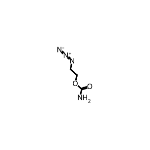 [N-]=[N+]=NCCOC(N)=O